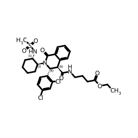 CCOC(=O)CCCNC(=O)[C@@H]1c2ccccc2C(=O)N([C@H]2CCCC[C@@H]2NS(C)(=O)=O)[C@H]1c1ccc(Cl)cc1Cl